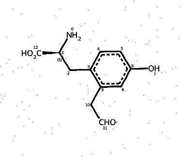 N[C@@H](Cc1ccc(O)cc1C[C]=O)C(=O)O